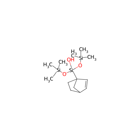 C[Si](C)(C)O[Si](O)(O[Si](C)(C)C)C12C=CC(CC1)C2